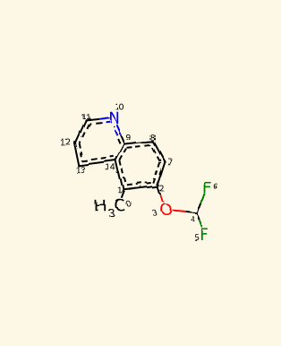 Cc1c(OC(F)F)ccc2ncccc12